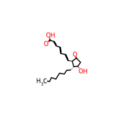 CCCCCCCC[C@H]1[C@H](O)CC(=O)[C@@H]1C=CC=CC=CC(=O)O